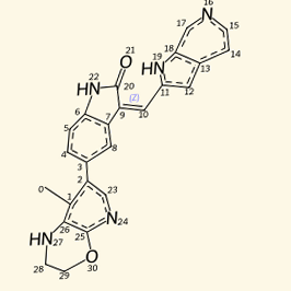 Cc1c(-c2ccc3c(c2)/C(=C/c2cc4ccncc4[nH]2)C(=O)N3)cnc2c1NCCO2